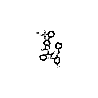 CC(C)(C)NS(=O)(=O)c1ccccc1-c1ccc2c(c1)CN(C(C(=O)Nc1cc(C#N)ccc1OCc1ccccc1)c1ccccc1)C2=O